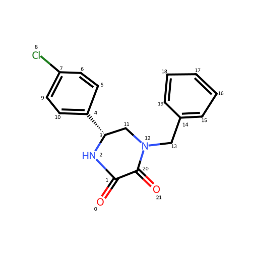 O=C1N[C@H](c2ccc(Cl)cc2)CN(Cc2ccccc2)C1=O